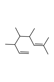 C=CC(C)[C](C)C(C)C=C(C)C